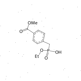 CCOP(=O)(O)Cc1ccc(C(=O)OC)cc1